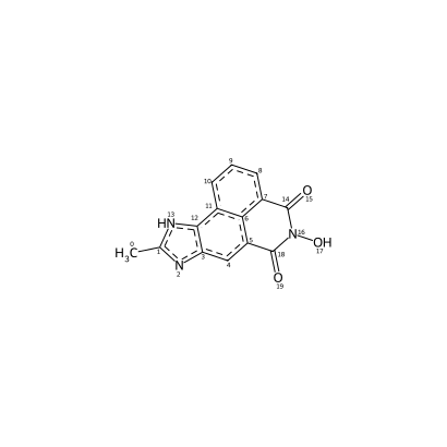 Cc1nc2cc3c4c(cccc4c2[nH]1)C(=O)N(O)C3=O